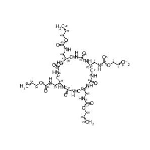 C=CCOC(=O)NC[C@H]1CNC(=O)N[C@@H](CNC(=O)OCC=C)CNC(=O)N[C@@H](CNC(=O)OCC=C)CNC(=O)N[C@@H](CNC(=O)OCC=C)CNC(=O)N1